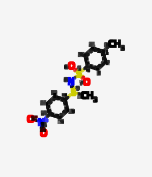 Cc1ccc(S(=O)(=O)/N=S(\C)c2ccc([N+](=O)[O-])cc2)cc1